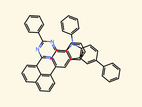 c1ccc(-c2ccc3c(c2)c2cc(-c4cccc5cccc(-c6nc(-c7ccccc7)nc(-c7ccccc7)n6)c45)ccc2n3-c2ccccc2)cc1